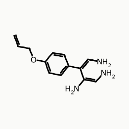 C=CCOc1ccc(C(=C/N)/C(N)=C\N)cc1